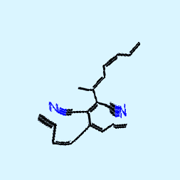 C=CC=C(/C=C\C=C)/C(C#N)=C(C#N)/C(C)=C/C=C\C=C